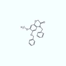 COc1cc2c(cc1OCc1ccccc1)N(Cc1ccccc1)C(=O)CO2